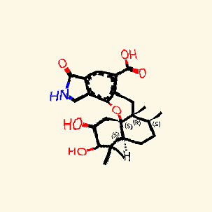 C[C@H]1CC[C@H]2C(C)(C)C(O)C(O)C[C@]23Oc2c(c(C(=O)O)cc4c2CNC4=O)C[C@]13C